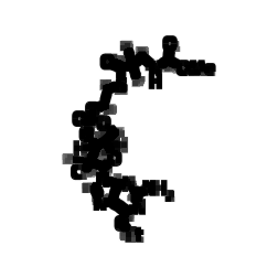 CCOc1nc(N)nc2c1ncn2[C@@H]1O[C@@H]2CO[P@](=O)(OCCSC(=O)C(C)(C)CNC(=O)OC)O[C@H]2[C@@]1(C)Cl